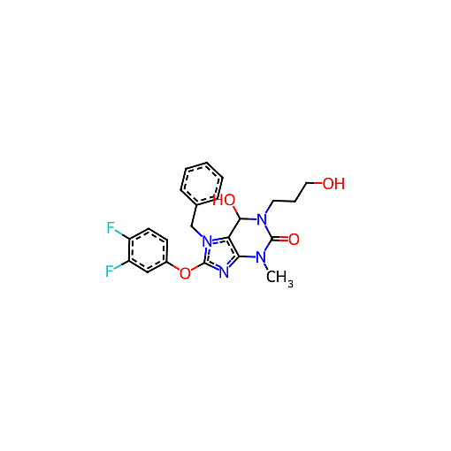 CN1C(=O)N(CCCO)C(O)c2c1nc(Oc1ccc(F)c(F)c1)n2Cc1ccccc1